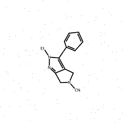 CCn1nc2c(c1-c1ccccc1)CN(C#N)C2